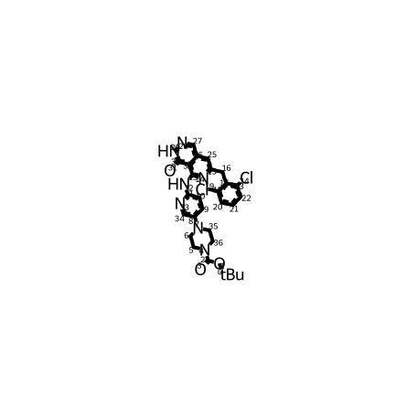 CC(C)(C)OC(=O)N1CCN(c2ccc(Nc3nc(Cc4c(Cl)cccc4Cl)cc4cn[nH]c(=O)c34)nc2)CC1